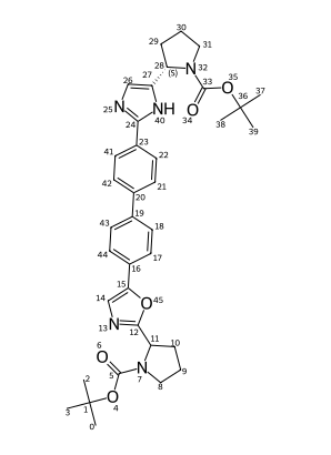 CC(C)(C)OC(=O)N1CCCC1c1ncc(-c2ccc(-c3ccc(-c4ncc([C@@H]5CCCN5C(=O)OC(C)(C)C)[nH]4)cc3)cc2)o1